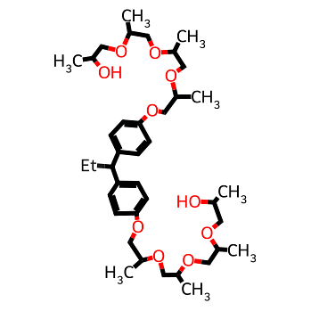 CCC(c1ccc(OCC(C)OCC(C)OCC(C)OCC(C)O)cc1)c1ccc(OCC(C)OCC(C)OCC(C)OCC(C)O)cc1